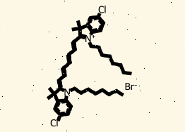 CCCCCCCCN1C(=CC=CC=CC=CC2=[N+](CCCCCCCC)c3ccc(Cl)cc3C2(C)C)C(C)(C)c2cc(Cl)ccc21.[Br-]